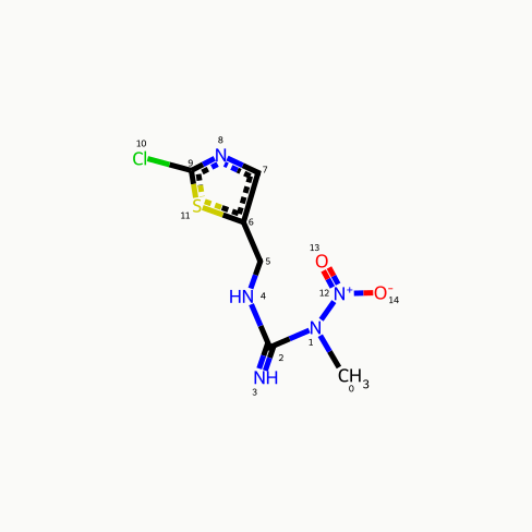 CN(C(=N)NCc1cnc(Cl)s1)[N+](=O)[O-]